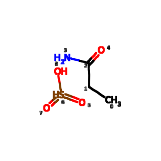 CCC(N)=O.O=[SH](=O)O